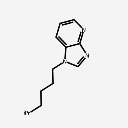 CC(C)CCCCn1cnc2ncccc21